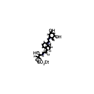 C=C1/C(=C\C=C2/CCC[C@]3(C)[C@@H]([C@H](C)/C=C/[C@@H](O)C(C)(C)OC(=O)OCC)CC[C@@H]23)C[C@@H](O)C[C@@H]1O